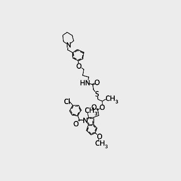 COc1ccc2c(c1)c(CC(=O)OC(C)CSCC(=O)NCCCOc1cccc(CN3CCCCC3)c1)c(C)n2C(=O)c1ccc(Cl)cc1